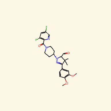 COc1ccc(C2=NN(C3CCN(C(=O)c4ncc(F)cc4F)CC3)C(C=O)C2(C)C)cc1OC